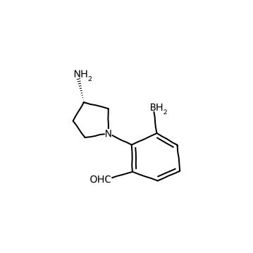 Bc1cccc(C=O)c1N1CC[C@H](N)C1